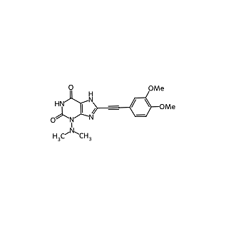 COc1ccc(C#Cc2nc3c([nH]2)c(=O)[nH]c(=O)n3N(C)C)cc1OC